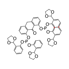 O=C1c2c(cccc2OP(Oc2ccccc2C2OCCO2)Oc2ccccc2C2OCCO2)Cc2cccc(OP(Oc3ccccc3C3OCCO3)Oc3ccccc3C3OCCO3)c21